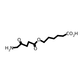 NCC(=O)CCC(=O)OCCCCCC(=O)O